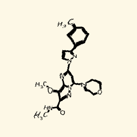 CNC(=O)c1nn2c(N3CCOCC3)cc(-n3ccc(-c4cccc(C)c4)n3)nc2c1OC